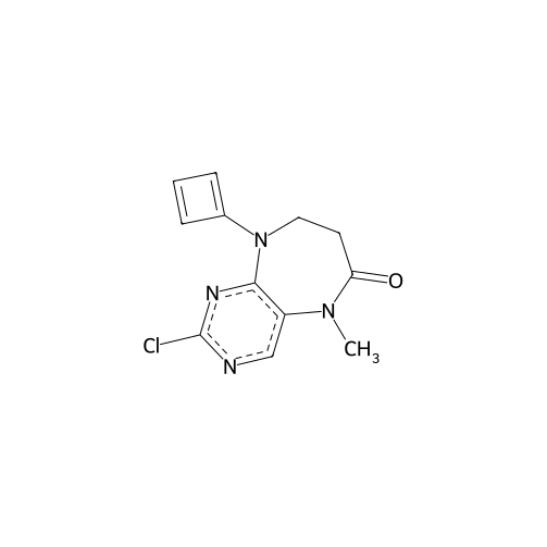 CN1C(=O)CCN(C2=CC=C2)c2nc(Cl)ncc21